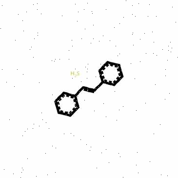 C(=Cc1ccccc1)c1ccccc1.S